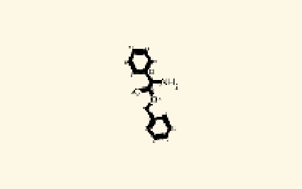 NC(C(=O)OCc1ccccc1)c1ccccc1